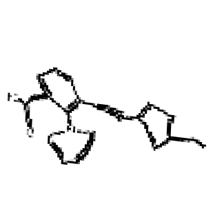 Cc1ccc(C#Cc2cccc(C(=O)O)c2-n2cccc2)cc1